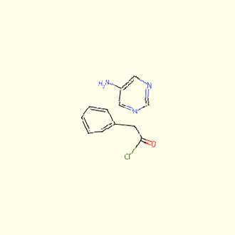 Nc1cncnc1.O=C(Cl)Cc1ccccc1